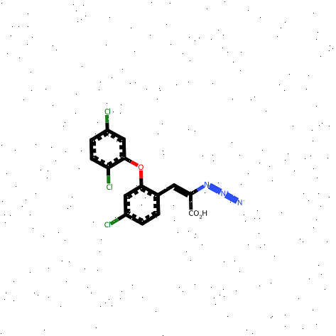 [N-]=[N+]=N/C(=C/c1ccc(Cl)cc1Oc1cc(Cl)ccc1Cl)C(=O)O